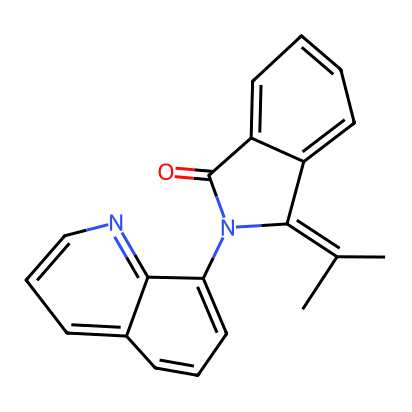 CC(C)=C1c2ccccc2C(=O)N1c1cccc2cccnc12